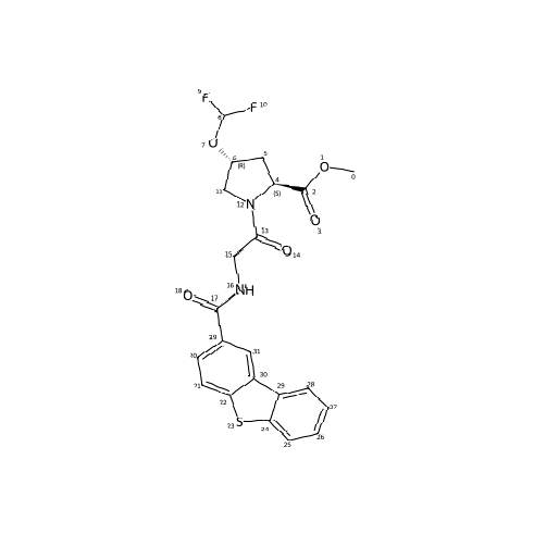 COC(=O)[C@@H]1C[C@@H](OC(F)F)CN1C(=O)CNC(=O)c1ccc2sc3ccccc3c2c1